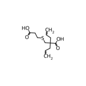 C=CCC(CC=C)(CSCCC(=O)O)C(=O)O